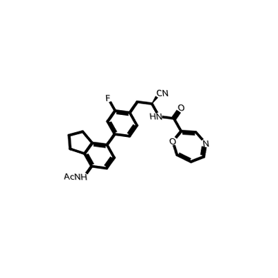 CC(=O)Nc1ccc(-c2ccc(C[C@@H](C#N)NC(=O)C3=CN=CC=CO3)c(F)c2)c2c1CCC2